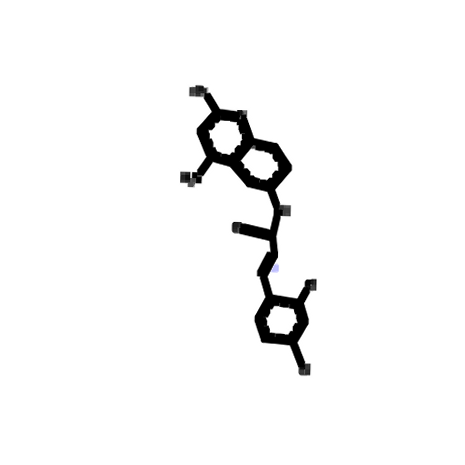 CCCc1cc(N)c2cc(NC(=O)/C=C/c3ccc(Cl)cc3Cl)ccc2n1